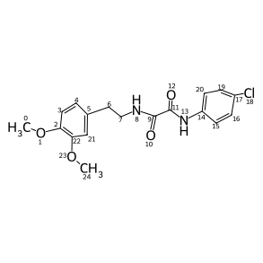 COc1ccc(CCNC(=O)C(=O)Nc2ccc(Cl)cc2)cc1OC